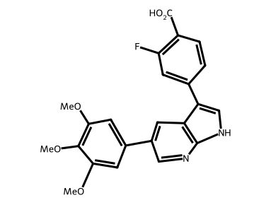 COc1cc(-c2cnc3[nH]cc(-c4ccc(C(=O)O)c(F)c4)c3c2)cc(OC)c1OC